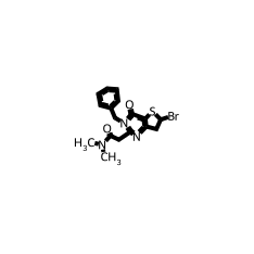 CN(C)C(=O)Cc1nc2c(c(=O)n1Cc1ccccc1)SC(Br)C2